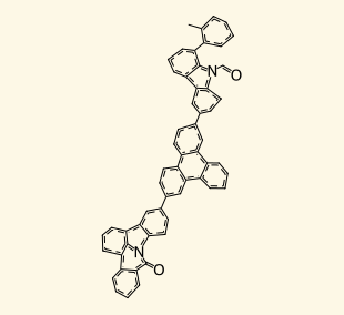 Cc1ccccc1-c1cccc2c3cc(-c4ccc5c6ccc(-c7ccc8c(c7)c7cccc9c%10ccccc%10c(=O)n8c97)cc6c6ccccc6c5c4)ccc3n(C=O)c12